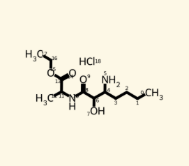 CCCCC(N)C(O)C(=O)NC(C)C(=O)OCC.Cl